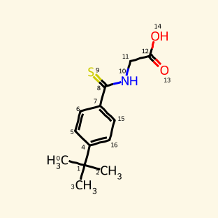 CC(C)(C)c1ccc(C(=S)NCC(=O)O)cc1